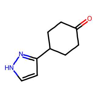 O=C1CCC(c2cc[nH]n2)CC1